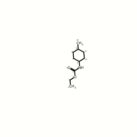 CCOC(=O)NC1CCC(C)CC1